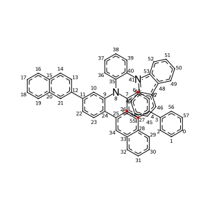 c1ccc(-c2ccc(N(c3cc(-c4ccc5ccccc5c4)ccc3-c3ccc4ccccc4c3)c3ccccc3-n3c4ccccc4c4ccccc43)cc2)cc1